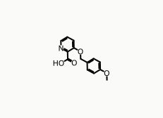 COc1ccc(COc2cccnc2C(=O)O)cc1